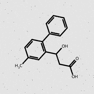 Cc1ccc(-c2ccccc2)c(C(O)CC(=O)O)c1